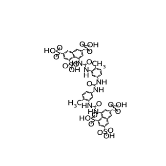 Cc1ccc(NC(=O)Nc2ccc(C)c(NC(=O)Nc3cc(S(=O)(=O)O)cc4cc(S(=O)(=O)O)cc(S(=O)(=O)O)c34)c2)cc1NC(=O)Nc1cc(S(=O)(=O)O)cc2cc(S(=O)(=O)O)cc(S(=O)(=O)O)c12